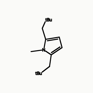 Cn1c(CC(C)(C)C)ccc1CC(C)(C)C